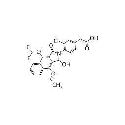 CCOc1c2c(c(OC(F)F)c3ccccc13)C(=O)N(c1ccc(CC(=O)O)cc1Cl)C2O